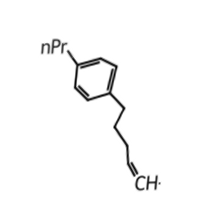 [CH]=CCCCc1ccc(CCC)cc1